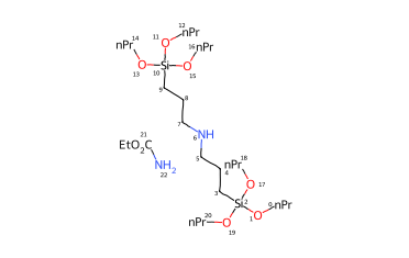 CCCO[Si](CCCNCCC[Si](OCCC)(OCCC)OCCC)(OCCC)OCCC.CCOC(N)=O